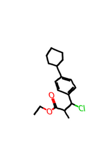 CCOC(=O)C(C)C(Cl)c1ccc(C2CCCCC2)cc1